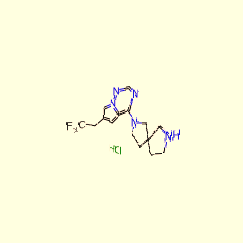 Cl.FC(F)(F)Cc1cc2c(N3CCC4(CCNC4)C3)ncnn2c1